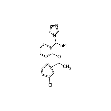 CCCC(c1ccccc1OC(C)c1cccc(Cl)c1)n1ccnc1